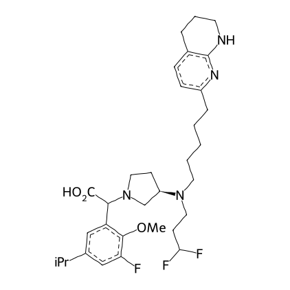 COc1c(F)cc(C(C)C)cc1C(C(=O)O)N1CC[C@@H](N(CCCCCc2ccc3c(n2)NCCC3)CCC(F)F)C1